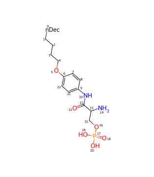 CCCCCCCCCCCCCCOc1ccc(NC(=O)C(N)COP(=O)(O)O)cc1